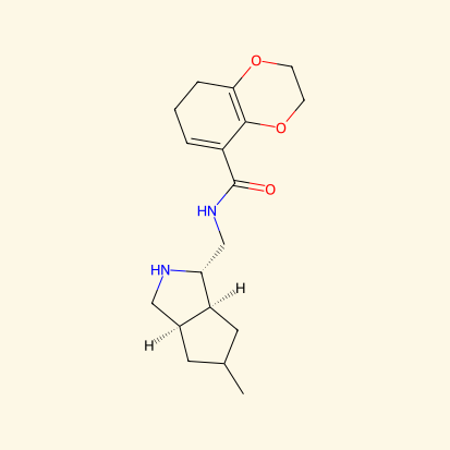 CC1C[C@H]2CN[C@H](CNC(=O)C3=CCCC4=C3OCCO4)[C@H]2C1